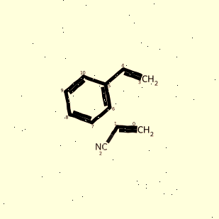 C=CC#N.C=Cc1ccccc1